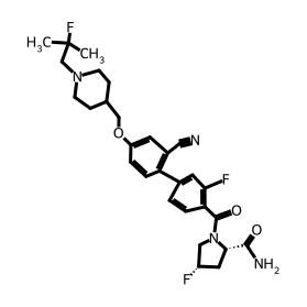 CC(C)(F)CN1CCC(COc2ccc(-c3ccc(C(=O)N4C[C@@H](F)C[C@H]4C(N)=O)c(F)c3)c(C#N)c2)CC1